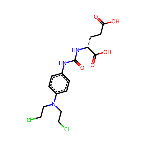 O=C(O)CC[C@@H](NC(=O)Nc1ccc(N(CCCl)CCCl)cc1)C(=O)O